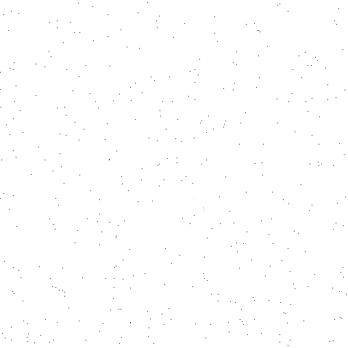 CCCCCCCOP(=O)(O)OCCCCCCC.[Cr]